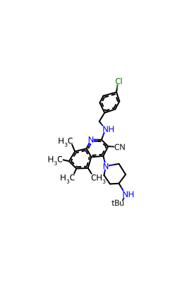 Cc1c(C)c(C)c2c(N3CCC(NC(C)(C)C)CC3)c(C#N)c(NCc3ccc(Cl)cc3)nc2c1C